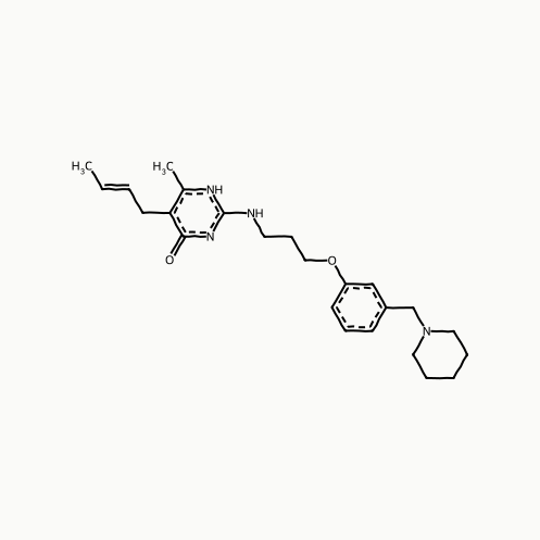 CC=CCc1c(C)[nH]c(NCCCOc2cccc(CN3CCCCC3)c2)nc1=O